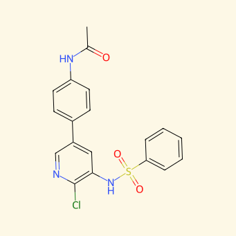 CC(=O)Nc1ccc(-c2cnc(Cl)c(NS(=O)(=O)c3ccccc3)c2)cc1